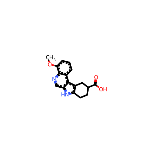 COc1cccc2c1ncc1[nH]c3c(c12)CC(C(=O)O)CC3